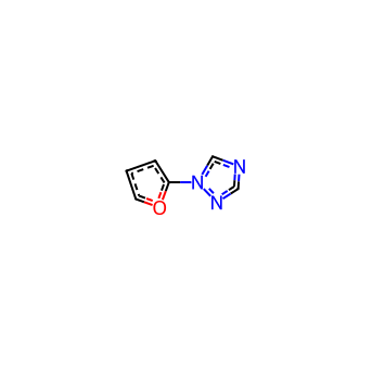 c1coc(-n2cncn2)c1